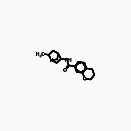 CC1CC2CN1CC2NC(=O)c1ccc2c(c1)OCCC2